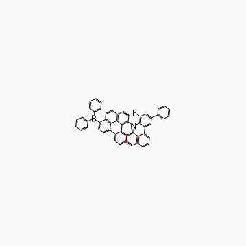 Fc1cc(-c2ccccc2)cc(-c2ccccc2)c1N(c1ccccc1)c1ccc2ccc3c(B(c4ccccc4)c4ccccc4)ccc4c5ccccc5c1c2c34